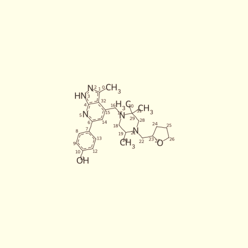 Cc1n[nH]c2nc(-c3ccc(O)cc3)cc(CN3CC(C)N(CC4CCCO4)CC3(C)C)c12